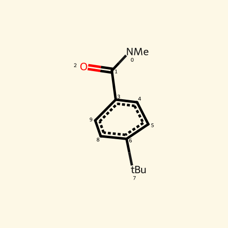 CNC(=O)c1ccc(C(C)(C)C)cc1